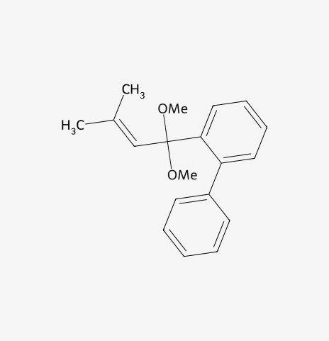 COC(C=C(C)C)(OC)c1ccccc1-c1ccccc1